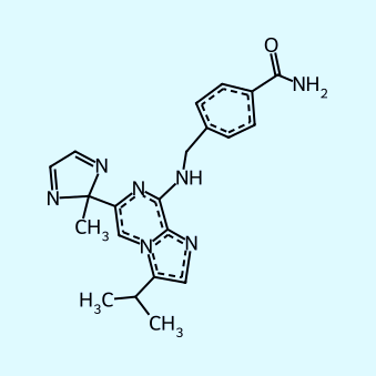 CC(C)c1cnc2c(NCc3ccc(C(N)=O)cc3)nc(C3(C)N=CC=N3)cn12